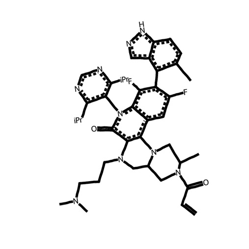 C=CC(=O)N1CC2CN(CCCN(C)C)c3c(c4cc(F)c(-c5c(C)ccc6[nH]ncc56)c(F)c4n(-c4c(C(C)C)ncnc4C(C)C)c3=O)N2CC1C